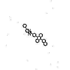 C1=CC2=C(C3C=c4ccccc4=CC3)c3ccccc3C(C3=CCC(c4cn5cc(-c6ccccc6)ccc5n4)C=C3)C2CC1